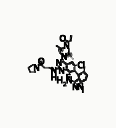 C=CC(=O)N1C[C@H](C)N(c2nc(NCCC(=O)N3CCCC3)nc3c(F)c(-c4c(C)ccc5c4c(N)nn5I)c(Cl)cc23)C[C@H]1C